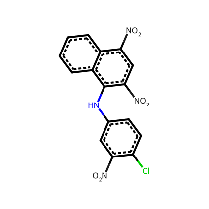 O=[N+]([O-])c1cc(Nc2c([N+](=O)[O-])cc([N+](=O)[O-])c3ccccc23)ccc1Cl